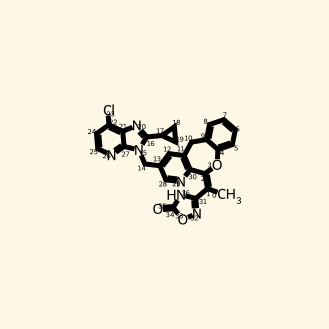 CC(=C1Oc2ccccc2Cc2cc(Cn3c(C4CC4)nc4c(Cl)ccnc43)cnc21)c1noc(=O)[nH]1